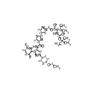 CCO[C@H]1CC[C@H](n2cc(NC(=O)c3csc(-c4cnn(COC(=O)[C@@H](NC(=O)OC(C)(C)C)C(C)C)c4)n3)c(-c3nc(F)ccc3F)n2)CC1